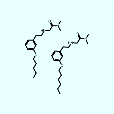 CCCCCCOc1cccc(CCNCC(=O)N(C)C)c1.CCCCCOc1cccc(CCNCC(=O)N(C)C)c1